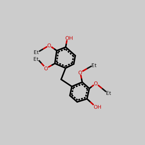 CCOc1c(O)ccc(Cc2ccc(O)c(OCC)c2OCC)c1OCC